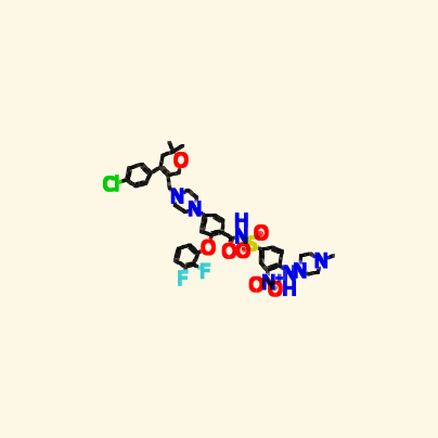 CN1CCN(Nc2ccc(S(=O)(=O)NC(=O)c3ccc(N4CCN(CC5=C(c6ccc(Cl)cc6)CC(C)(C)OC5)CC4)cc3Oc3cccc(F)c3F)cc2[N+](=O)[O-])CC1